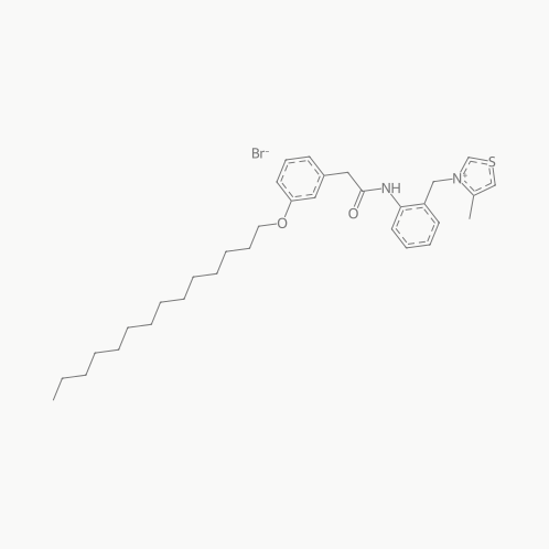 CCCCCCCCCCCCCCOc1cccc(CC(=O)Nc2ccccc2C[n+]2cscc2C)c1.[Br-]